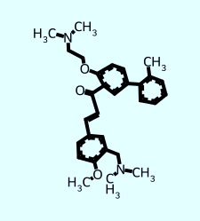 COc1ccc(/C=C/C(=O)c2cc(-c3ccccc3C)ccc2OCCN(C)C)cc1CN(C)C